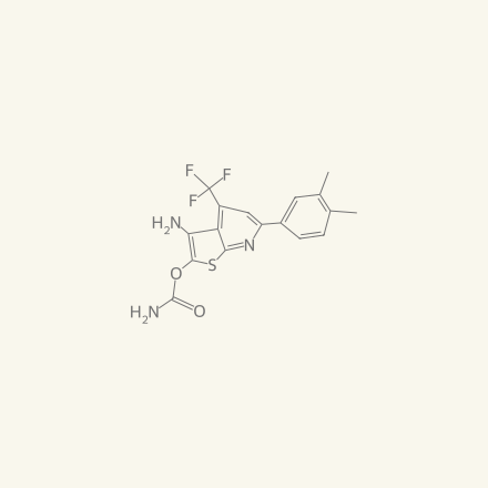 Cc1ccc(-c2cc(C(F)(F)F)c3c(N)c(OC(N)=O)sc3n2)cc1C